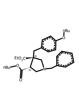 CCCCOC(=O)[C@H]1CN(Cc2ccccc2)C[C@]1(Cc1ccc(OCCCC)cc1)C(=O)OCC